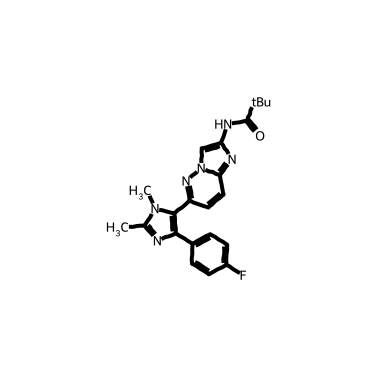 Cc1nc(-c2ccc(F)cc2)c(-c2ccc3nc(NC(=O)C(C)(C)C)cn3n2)n1C